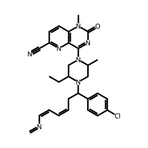 C=N/C=C\C=C/CC(c1ccc(Cl)cc1)N1CC(C)N(c2nc(=O)n(C)c3ccc(C#N)nc23)CC1CC